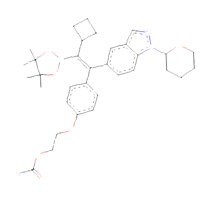 CC1(C)OB(C(=C(c2ccc(OCCOC(N)=O)cc2)c2ccc3c(cnn3C3CCCCO3)c2)C2CCC2)OC1(C)C